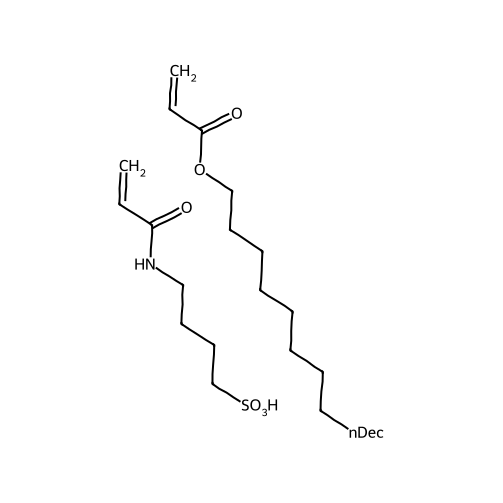 C=CC(=O)NCCCCS(=O)(=O)O.C=CC(=O)OCCCCCCCCCCCCCCCCCC